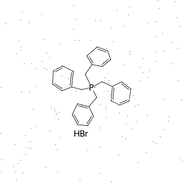 Br.c1ccc(C[P](Cc2ccccc2)(Cc2ccccc2)Cc2ccccc2)cc1